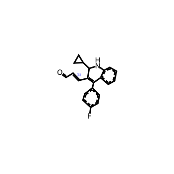 O=C/C=C/C1=C(c2ccc(F)cc2)c2ccccc2NC1C1CC1